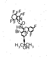 CC(C)(O)C#Cc1cnc([C@H](Cc2cc(F)cc(F)c2)NC(=O)Cn2nc(C(F)F)c3c2C(F)(F)CCC3(F)F)c(Br)c1